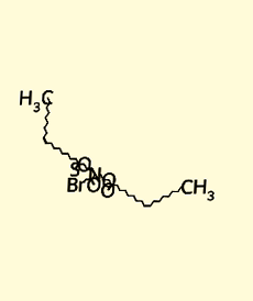 CCCCCCCC/C=C\CCCCCCCC(=O)OCCN(CCOC(=S)CCCCCCC/C=C\CCCCCCCC)C(=O)CBr